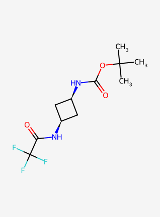 CC(C)(C)OC(=O)N[C@H]1C[C@@H](NC(=O)C(F)(F)F)C1